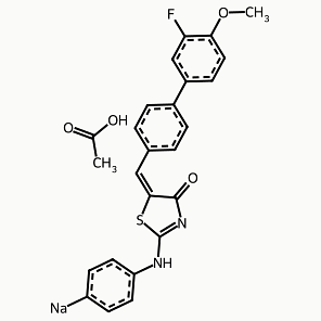 CC(=O)O.COc1ccc(-c2ccc(/C=C3/SC(Nc4cc[c]([Na])cc4)=NC3=O)cc2)cc1F